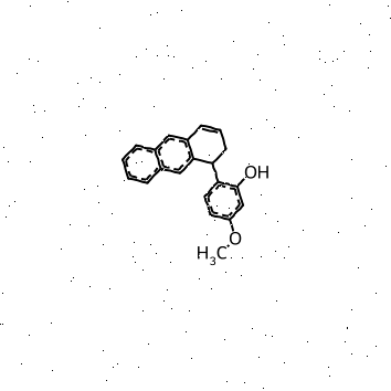 COc1ccc(C2CC=Cc3cc4ccccc4cc32)c(O)c1